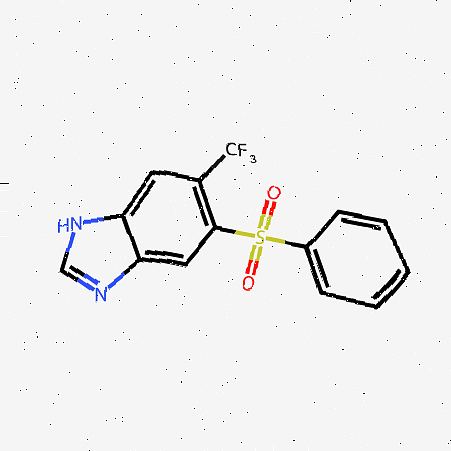 O=S(=O)(c1ccccc1)c1cc2nc[nH]c2cc1C(F)(F)F